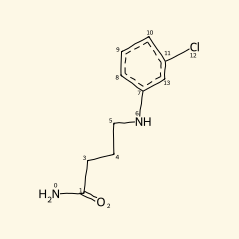 NC(=O)CCCNc1cccc(Cl)c1